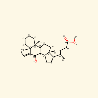 C/C=C1/C(=O)C2C3CC[C@H]([C@H](C)CCC(=O)OC)[C@@]3(C)CCC2[C@@]2(C)CCCC[C@@H]12